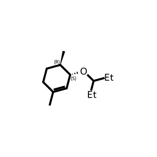 CCC(CC)O[C@@H]1C=C(C)CC[C@H]1C